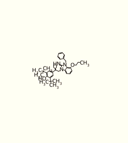 CCCOc1cccc2c1n(Cc1ccccc1)c(=N)n2CC(=O)c1cc(C(C)(C)C)c(O)c(C(C)(C)C)c1